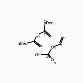 C=C(CCCCCCCCCC)OC(=C)CCCCCCCCCC.C=COC(=O)CCC